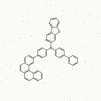 c1ccc(-c2ccc(N(c3ccc(-c4ccc5ccc6ccc7ccccc7c6c5c4)cc3)c3cc4oc5ccccc5c4cn3)cc2)cc1